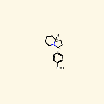 O=Cc1ccc([C@@H]2CC[C@H]3CCCCN32)cc1